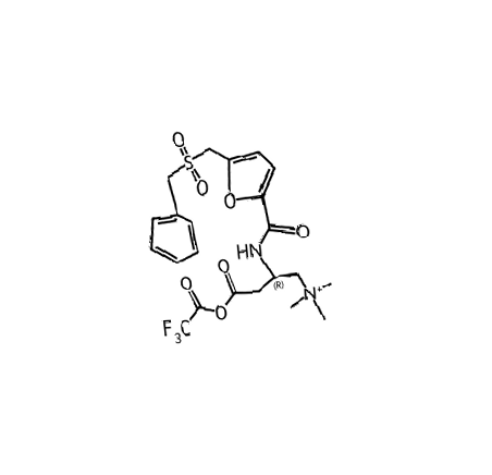 C[N+](C)(C)C[C@@H](CC(=O)OC(=O)C(F)(F)F)NC(=O)c1ccc(CS(=O)(=O)Cc2ccccc2)o1